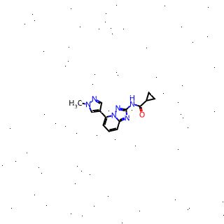 Cn1cc(-c2cccc3nc(NC(=O)C4CC4)nn23)cn1